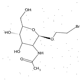 CC(=O)NC1C(O)[C@H](O)C(CO)O[C@H]1OCCBr